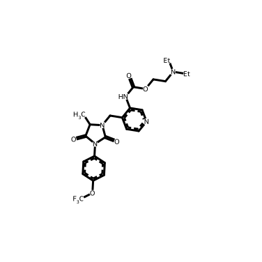 CCN(CC)CCOC(=O)Nc1cnccc1CN1C(=O)N(c2ccc(OC(F)(F)F)cc2)C(=O)C1C